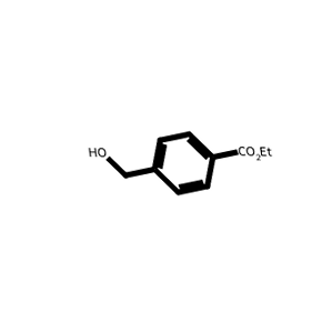 CCOC(=O)c1ccc([CH]O)cc1